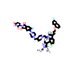 Cc1nn(C)c(C)c1-c1c(Cl)ccc2c(CCCOc3cccc4cc(F)ccc34)c(C(=O)O)n(CCN3CCC(CN4CCN(c5cc6c(cc5F)C(=O)N(C5CCC(=O)NC5=O)C6=O)CC4)CC3)c12